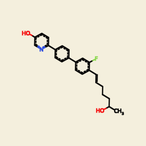 CC(O)CCC/C=C/c1ccc(-c2ccc(-c3ccc(O)cn3)cc2)cc1F